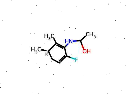 CC1=C(NC(C)O)C(F)=CC[C@H]1C